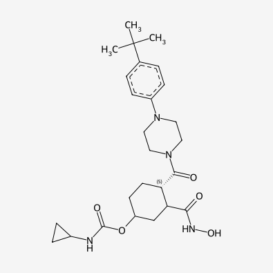 CC(C)(C)c1ccc(N2CCN(C(=O)[C@H]3CCC(OC(=O)NC4CC4)CC3C(=O)NO)CC2)cc1